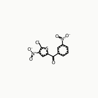 O=C(c1cccc([N+](=O)[O-])c1)c1cc([N+](=O)[O-])c(Cl)s1